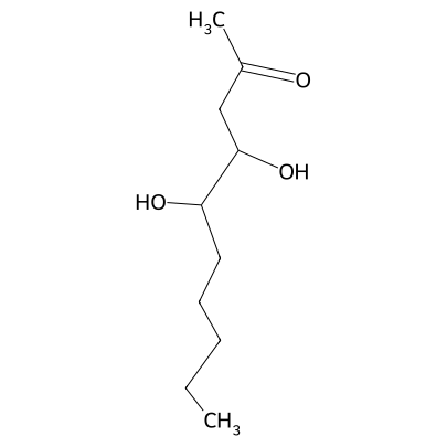 CCCCCC(O)C(O)CC(C)=O